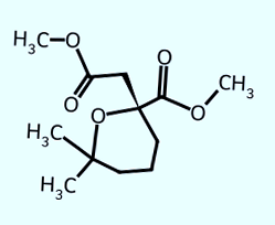 COC(=O)C[C@@]1(C(=O)OC)CCCC(C)(C)O1